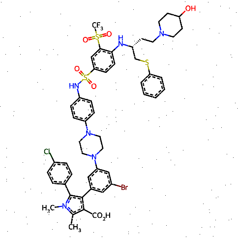 Cc1c(C(=O)O)c(-c2cc(Br)cc(N3CCN(c4ccc(NS(=O)(=O)c5ccc(N[C@H](CCN6CCC(O)CC6)CSc6ccccc6)c(S(=O)(=O)C(F)(F)F)c5)cc4)CC3)c2)c(-c2ccc(Cl)cc2)n1C